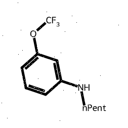 CCCCCNc1cccc(OC(F)(F)F)c1